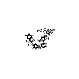 COC(=O)C(C)(CCC(=O)O)NC(=O)c1c[nH]c(-c2cc(Oc3ccc(NC(=O)Nc4cccc(C)c4)c(F)c3)ccn2)c1